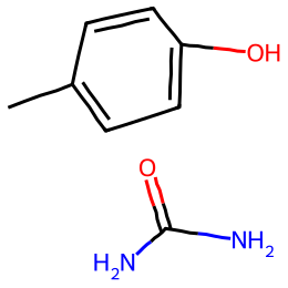 Cc1ccc(O)cc1.NC(N)=O